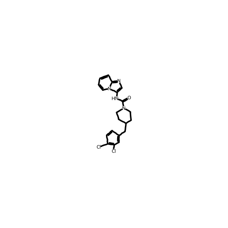 O=C(Nc1cnc2ccccn12)N1CCC(Cc2ccc(Cl)c(Cl)c2)CC1